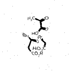 CC(=O)C(=O)O.CC(C)CC(=O)O.CCC(C)C(=O)CC(=O)O